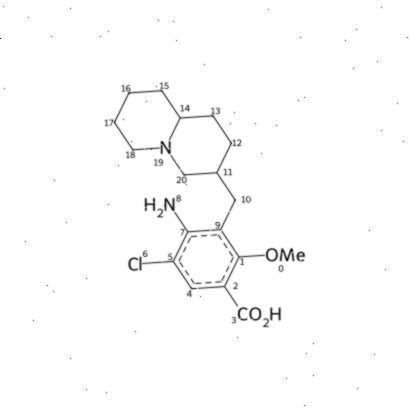 COc1c(C(=O)O)cc(Cl)c(N)c1CC1CCC2CCCCN2C1